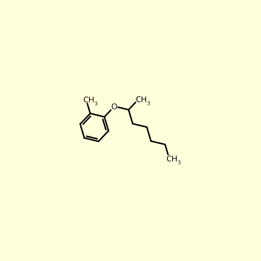 CCCCCC(C)Oc1ccccc1C